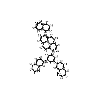 c1cnc2cc(-c3cc(-c4ccc5cccnc5c4)cc(-c4ccc5ccc6c(-c7cccc8cnccc78)ccc7ccc4c5c76)c3)ccc2c1